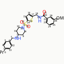 CCCc1ccc(CNC2CCN(S(=O)(=O)c3ccc(CNC(=O)c4cccc(OC)c4)s3)CC2)cc1